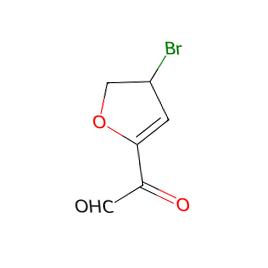 O=CC(=O)C1=CC(Br)CO1